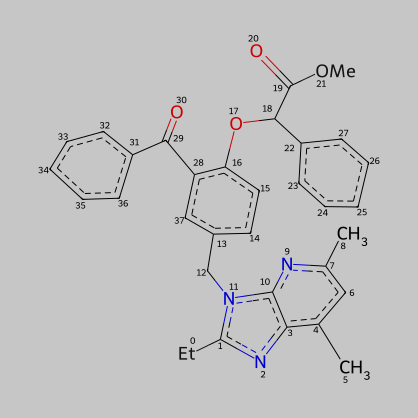 CCc1nc2c(C)cc(C)nc2n1Cc1ccc(OC(C(=O)OC)c2ccccc2)c(C(=O)c2ccccc2)c1